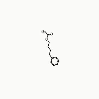 CC(C)(C)C(=O)OCCCCc1ccccc1